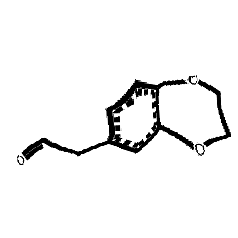 O=C[CH]c1ccc2c(c1)OCCO2